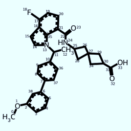 COc1cccc(-c2ccc(C(C)n3ccc4c(F)ccc(C(=O)NC5CC6(C5)CC(C(=O)O)C6)c43)cc2)c1